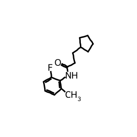 Cc1cccc(F)c1NC(=O)CCC1CCCC1